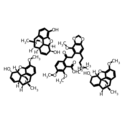 CN1CC[C@]23c4c5ccc(O)c4O[C@H]2[C@@H](O)C=C[C@H]3[C@H]1C5.COc1ccc(C(=O)Cc2c(CCN(C)C)cc3c(c2OC)OCO3)c(C(=O)O)c1OC.COc1ccc2c3c1O[C@H]1[C@@H](O)C=C[C@H]4[C@@H](C2)N(C)CC[C@@]341.COc1ccc2c3c1O[C@H]1[C@@H](O)CC=C4[C@@H](C2)N(C)CC[C@]431